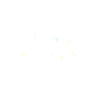 Cc1cnc(C(F)(F)F)cc1CCF